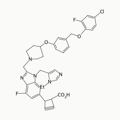 CCn1cncc1Cn1c(CN2CCC(Oc3cccc(COc4ccc(Cl)cc4F)c3)CC2)nc2c(F)cc(C3C#CC3C(=O)O)cc21